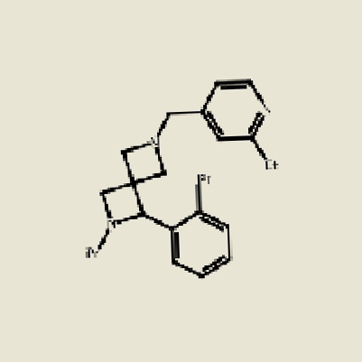 CCc1cc(CN2CC3(C2)CN(C(C)C)C3c2ccccc2C(C)C)ccn1